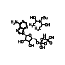 CCCCN(C(C)O)C(C)O.Nc1ncnc2c1ncn2[C@@H]1O[C@H](COP(=O)(O)OP(=O)(O)O)C(O)C1O